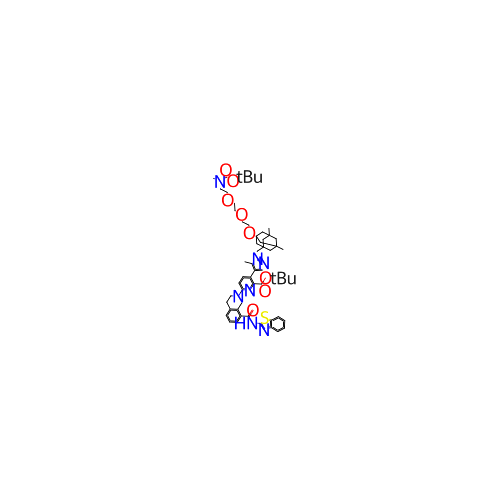 Cc1c(-c2ccc(N3CCc4cccc(C(=O)Nc5nc6ccccc6s5)c4C3)nc2C(=O)OC(C)(C)C)cnn1CC12CC3(C)CC(C)(C1)CC(OCCOCCOCCN(C)C(=O)OC(C)(C)C)(C3)C2